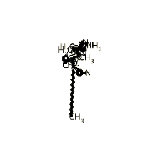 CCCCCCCCCCCCCCCCCCCC[C@H](COP(=O)(OC[C@@](C#N)(OC)[C@H]1OC(C)(C)O[C@H]1c1ccc2c(N)ncnn12)Oc1ccccc1Cl)Oc1cccc(C#N)c1